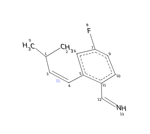 CC(C)/C=C\c1cc(F)ccc1C=N